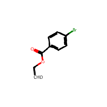 O=CCOC(=O)c1ccc(Br)cc1